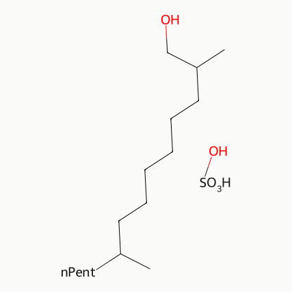 CCCCCC(C)CCCCCCC(C)CO.O=S(=O)(O)O